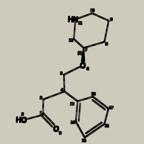 O=C(O)CC(CO[C@@H]1CCCNC1)c1ccccc1